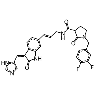 O=C1Nc2cc(C=CCNC(=O)C3CCN(Cc4ccc(F)c(F)c4)C3=O)ccc2C1=Cc1cnc[nH]1